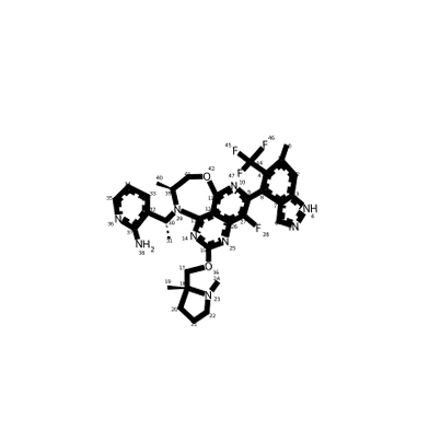 Cc1cc2[nH]ncc2c(-c2nc3c4c(nc(OC[C@@]5(C)CCCN5C)nc4c2F)N([C@H](C)c2cccnc2N)[C@@H](C)CO3)c1C(F)(F)F